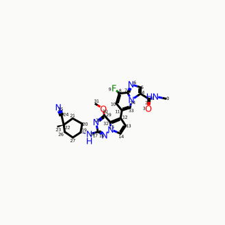 CNC(=O)c1cnc2c(F)cc(-c3ccn4nc(N[C@H]5CC[C@@](C)(C#N)CC5)nc(OC)c34)cn12